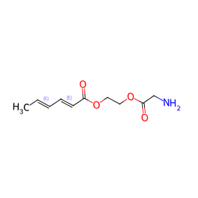 C/C=C/C=C/C(=O)OCCOC(=O)CN